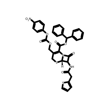 O=C(Cc1cccs1)NC1C(=O)N2C(C(=O)OC(c3ccccc3)c3ccccc3)=C(COC(=O)Oc3ccc([N+](=O)[O-])cc3)CS[C@@H]12